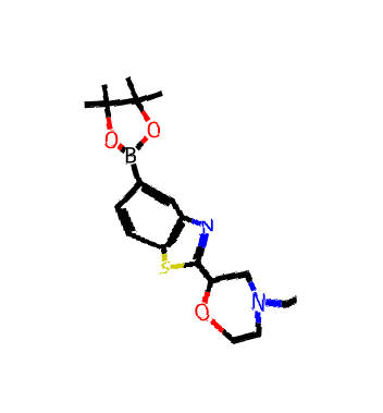 CN1CCOC(c2nc3cc(B4OC(C)(C)C(C)(C)O4)ccc3s2)C1